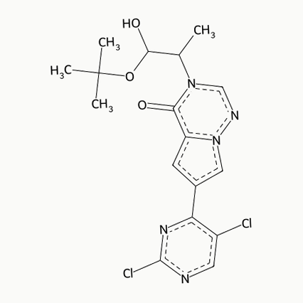 CC(C(O)OC(C)(C)C)n1cnn2cc(-c3nc(Cl)ncc3Cl)cc2c1=O